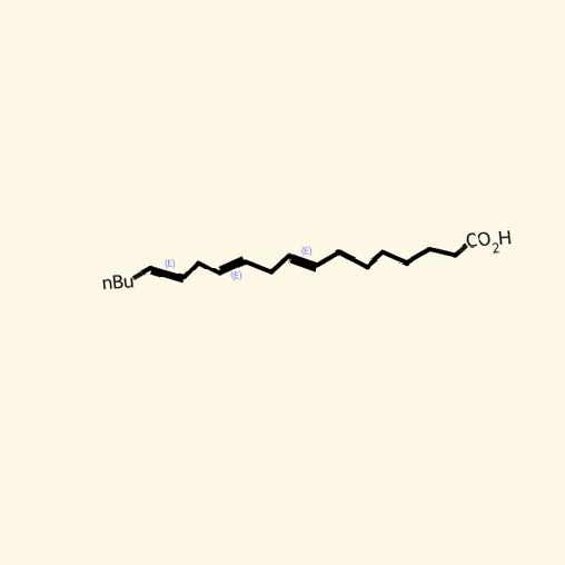 CCCC/C=C/C/C=C/C/C=C/CCCCCCC(=O)O